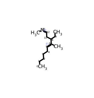 CCCCC/C=C(\C)C(CC)C/C=N\C